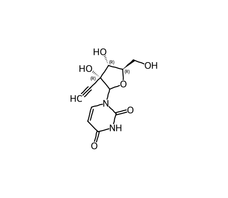 C#C[C@]1(O)C(n2ccc(=O)[nH]c2=O)O[C@H](CO)[C@H]1O